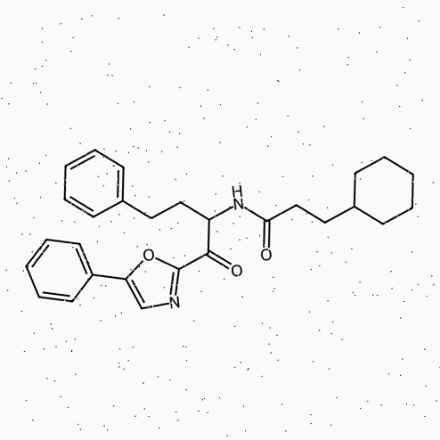 O=C(CCC1CCCCC1)NC(CCc1ccccc1)C(=O)c1ncc(-c2ccccc2)o1